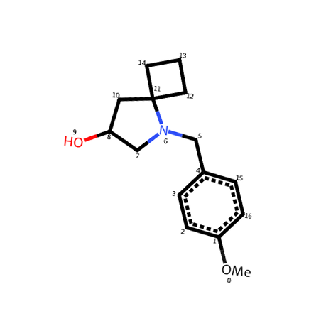 COc1ccc(CN2CC(O)CC23CCC3)cc1